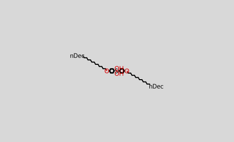 CCCCCCCCCCCCCCCCCCCCCCOc1ccc([Si](O)(O)c2ccc(OCCCCCCCCCCCCCCCCCCCCCC)cc2)cc1